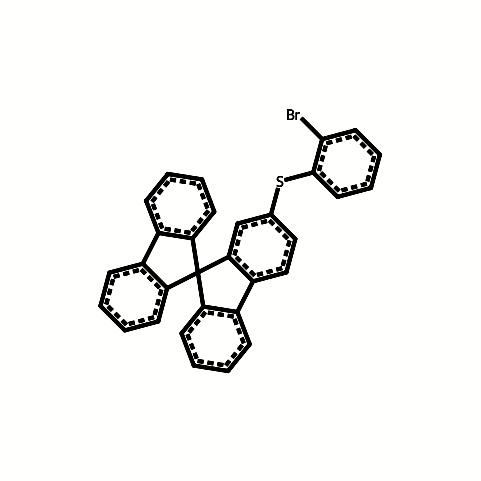 Brc1ccccc1Sc1ccc2c(c1)C1(c3ccccc3-c3ccccc31)c1ccccc1-2